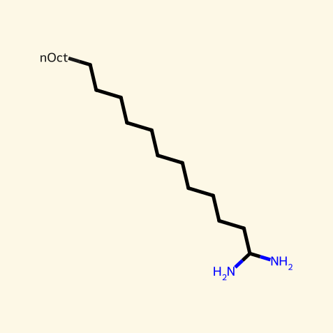 CCCCCCCCCCCCCCCCCCCC(N)N